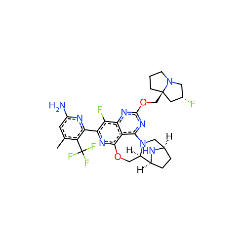 Cc1cc(N)nc(-c2nc3c4c(nc(OC[C@@]56CCCN5C[C@H](F)C6)nc4c2F)N2C[C@H]4CC[C@H](N4)[C@H]2CO3)c1C(F)(F)F